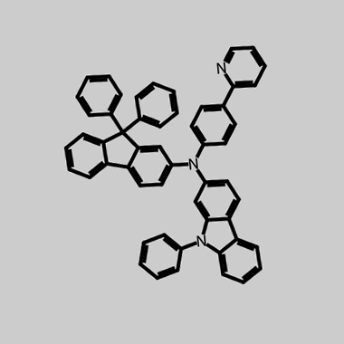 c1ccc(-n2c3ccccc3c3ccc(N(c4ccc(-c5ccccn5)cc4)c4ccc5c(c4)C(c4ccccc4)(c4ccccc4)c4ccccc4-5)cc32)cc1